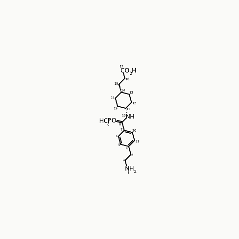 Cl.NCCc1ccc(C(=O)N[C@H]2CC[C@H](CCC(=O)O)CC2)cc1